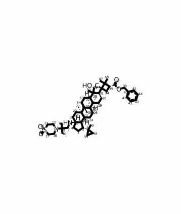 CC1([C@@H]2CC[C@]3(NCC(C)(C)N4CCS(=O)(=O)CC4)CC[C@]4(C)[C@H](CC[C@@H]5[C@]6(C)CC[C@H]([C@@]7(C(=O)O)C[C@@H](C(=O)OCc8ccccc8)C7(C)C)C(C)(C)[C@H]6CC[C@]54C)[C@@H]23)CC1